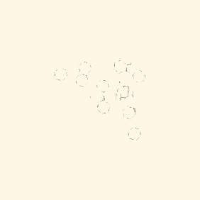 c1c(-c2ccccc2)ccc(-c2nc(-c3cccc4oc5ccccc5c34)nc(-c3ccc(-c4ccc(-c5ccccc5)c5ccccc45)c4oc5ccccc5c34)n2)c#1